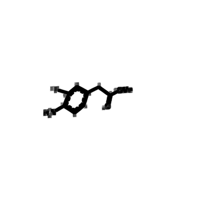 COC(=O)Cc1ccc(N)c(F)c1